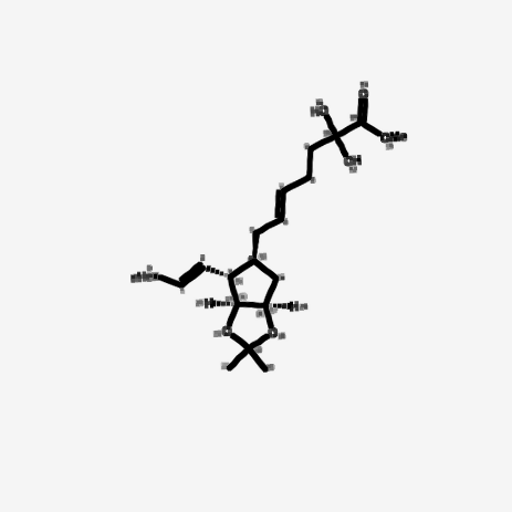 CCCCCCC=C[C@@H]1[C@@H](CC=CCCC(O)(O)C(=O)OC)C[C@H]2OC(C)(C)O[C@@H]12